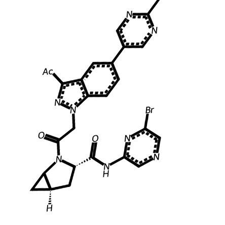 CC(=O)c1nn(CC(=O)N2C3C[C@@H]3C[C@H]2C(=O)Nc2cncc(Br)n2)c2ccc(-c3cnc(C)nc3)cc12